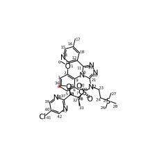 COc1cccc(OC)c1-n1c(-c2cncc(C)c2)nnc1N(CCS(C)(C)C)S(=O)(=O)[C@@H](C)[C@H](OC)c1ncc(Cl)cn1